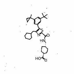 CC(C)(C)c1cc(-c2sc(C(=O)NC[C@H]3CC[C@H](C(=O)O)CC3)nc2CC2CCCCC2)cc(C2(C)CC2)c1